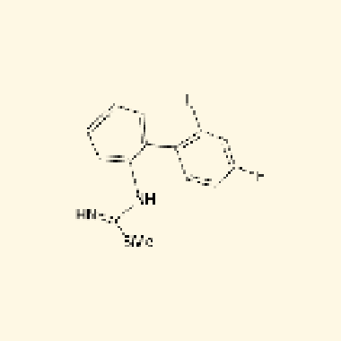 CSC(=N)Nc1ccccc1-c1ccc(F)cc1F